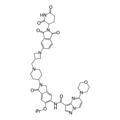 CC(C)Oc1cc2c(cc1NC(=O)c1cnn3ccc(N4CCOCC4)nc13)CN(C1CCN(CC3CN(c4ccc5c(c4)C(=O)N(C4CCC(=O)NC4=O)C5=O)C3)CC1)C2=O